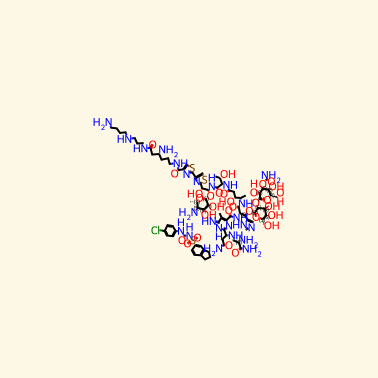 Cc1c(C(=O)NC(C(=O)NC(C)C(O)CC(=O)NC(C(=O)NC(O[C@@H]2O[C@@H](C)[C@@H](N)[C@@H](O)[C@H]2O)C(O)c2nc(-c3nc(C(=O)NCCCC(N)CC(=O)NCCCNCCCCN)cs3)cs2)C(C)O)[C@@H](O[C@@H]2O[C@@H](CO)[C@@H](O)[C@H](O)[C@@H]2O[C@H]2O[C@H](CO)[C@@H](O)[C@H](OC(N)=O)[C@@H]2O)c2cnc[nH]2)nc(C(CC(N)=O)NC[C@H](N)C(N)=O)[nH]c1=N.O=C(Nc1ccc(Cl)cc1)NS(=O)(=O)c1ccc2c(c1)CCC2